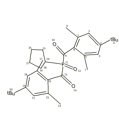 Cc1cc(C(C)(C)C)cc(C)c1C(=O)P(=O)(C(=O)c1c(C)cc(C(C)(C)C)cc1C)C1CCCC1